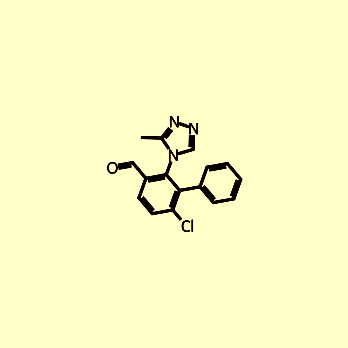 Cc1nncn1-c1c(C=O)ccc(Cl)c1-c1ccccc1